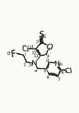 FCCN(Cc1ccc(Cl)nc1)C1=C(Cl)C(=S)OC1